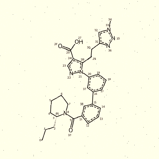 CCC[C@@H]1CCCCN1C(=O)c1cccc(-c2cccc(-n3ncc(C(=O)O)c3CCc3cn(C)nn3)c2)c1